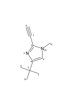 C#Cc1nc(C(C)(C)C)cn1C